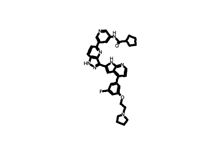 O=C(Nc1cncc(-c2ccc3[nH]nc(-c4cc5c(-c6cc(F)cc(OCCN7CCCC7)c6)ccnc5[nH]4)c3n2)c1)C1CCCC1